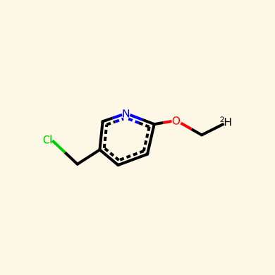 [2H]COc1ccc(CCl)cn1